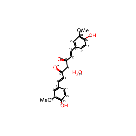 COc1cc(/C=C/C(=O)CC(=O)/C=C/c2ccc(O)c(OC)c2)ccc1O.O